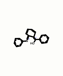 O/C(=C1/C=CC=C/C1=N\c1ccccc1)c1ccccc1